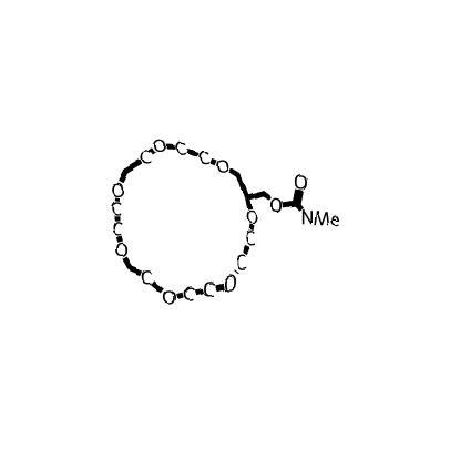 CNC(=O)OCC1COCCOCCOCCOCCOCCOCCO1